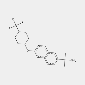 CC(C)(N)c1ccc2cc(OC3CCC(C(F)(F)F)CC3)ccc2c1